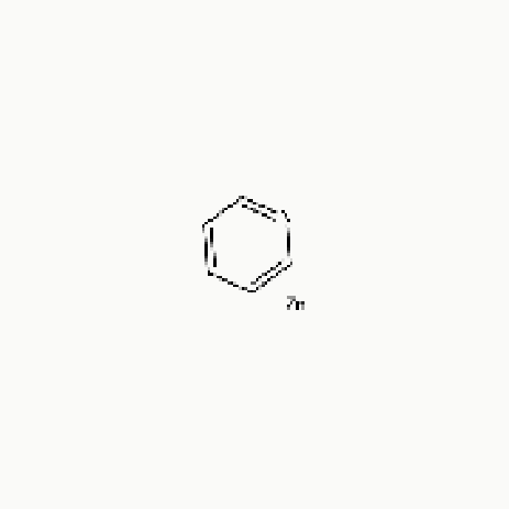 [Zn].c1ccncc1